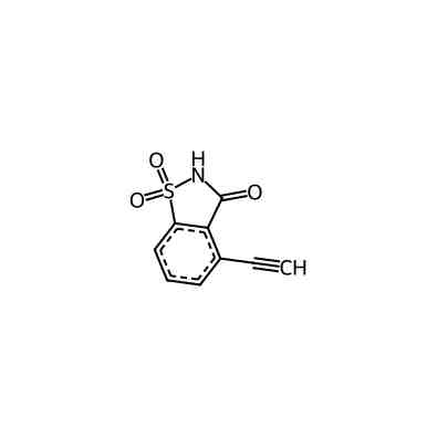 C#Cc1cccc2c1C(=O)NS2(=O)=O